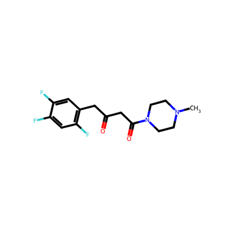 CN1CCN(C(=O)CC(=O)Cc2cc(F)c(F)cc2F)CC1